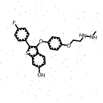 CNNCCOc1ccc(Oc2c(-c3ccc(F)cc3)sc3cc(O)ccc23)cc1